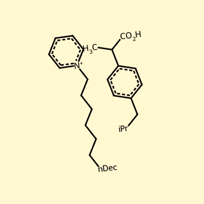 CC(C)Cc1ccc(C(C)C(=O)O)cc1.CCCCCCCCCCCCCCCC[n+]1ccccc1